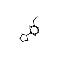 CCc1ccnc(C2CCCC2)n1